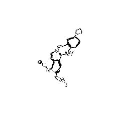 Cc1ccc2c(Nc3ccc(Cl)cc3F)nccc2c1N=C=O